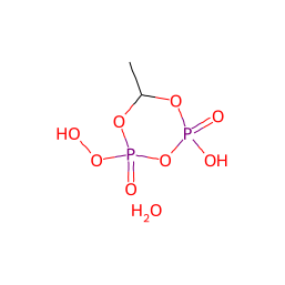 CC1OP(=O)(O)OP(=O)(OO)O1.O